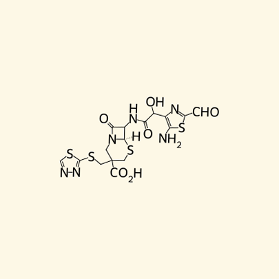 Nc1sc(C=O)nc1C(O)C(=O)NC1C(=O)N2CC(CSc3nncs3)(C(=O)O)CS[C@H]12